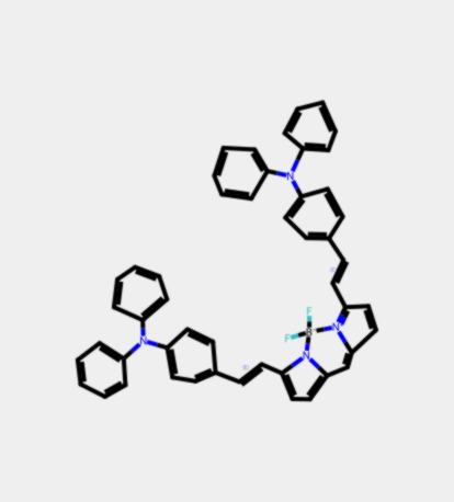 F[B-]1(F)n2c(ccc2/C=C/c2ccc(N(c3ccccc3)c3ccccc3)cc2)C=C2C=CC(/C=C/c3ccc(N(c4ccccc4)c4ccccc4)cc3)=[N+]21